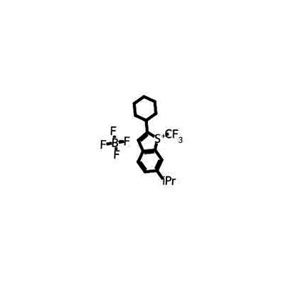 CC(C)c1ccc2cc(C3CCCCC3)[s+](C(F)(F)F)c2c1.F[B-](F)(F)F